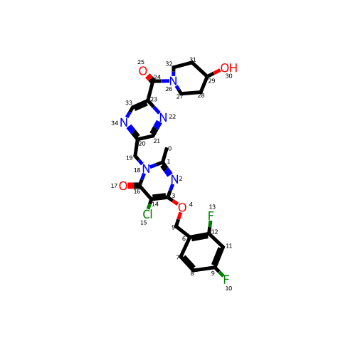 Cc1nc(OCc2ccc(F)cc2F)c(Cl)c(=O)n1Cc1cnc(C(=O)N2CCC(O)CC2)cn1